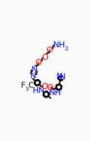 Cc1ccc(NC(=O)c2ccc(CN3CCN(CCOCCOCCOCCN)CC3)c(C(F)(F)F)c2)cc1NC(=O)c1cccc(-c2cnn(C)c2)c1